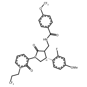 COc1ccc([C@@H]2CN(c3cccn(CCC(F)(F)F)c3=O)C(=O)C2CNC(=O)c2ccc(OC(F)(F)F)cc2)c(F)c1